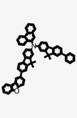 CC1(C)c2cc(-c3ccccc3)ccc2-c2ccc(N(c3ccc4c(c3)C(C)(C)c3cc(-c5ccc6oc7ccccc7c6c5)ccc3-4)c3cc4ccccc4c4ccccc34)cc21